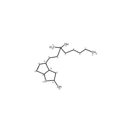 CCCCCC(C)(O)CCC1CCC2OC(O)CC12